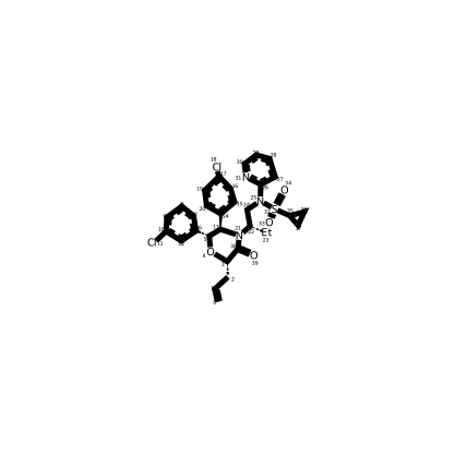 C=CC[C@@H]1O[C@H](c2cccc(Cl)c2)[C@@H](c2ccc(Cl)cc2)N([C@@H](CC)CN(c2ccccn2)S(=O)(=O)C2CC2)C1=O